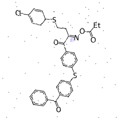 CCC(=O)O/N=C(\CCSC1C=CC(Cl)=CC1)C(=O)c1ccc(Sc2ccc(C(=O)c3ccccc3)cc2)cc1